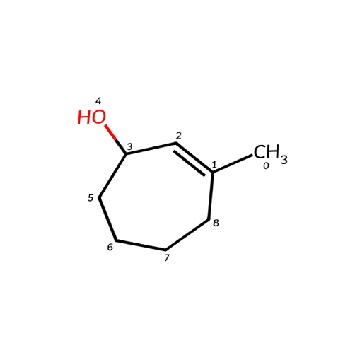 CC1=CC(O)CCCC1